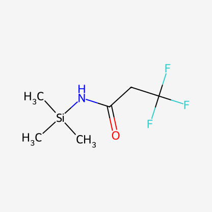 C[Si](C)(C)NC(=O)CC(F)(F)F